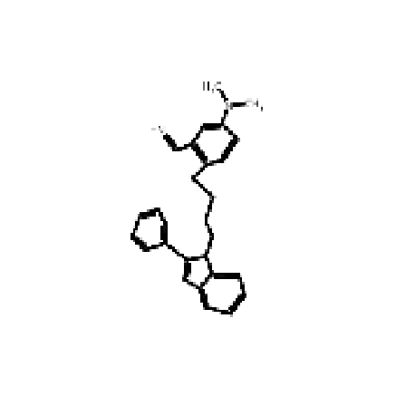 CN(C)c1ccc(CCCCC2C(c3ccccc3)=Cc3ccccc32)c(C=N)c1